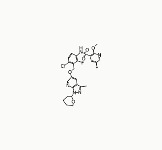 COc1ncc(F)cc1S(=O)(=O)Nc1ccc(Cl)c(COc2cnc3c(c2)c(C)nn3C2CCCCO2)c1F